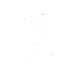 c1ccc(-c2nc(-c3ccccc3)nc(-c3ccc4c(c3)C3(c5ccccc5Sc5ccccc53)c3ccc5sccc5c3-4)n2)cc1